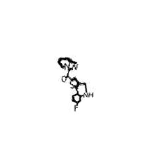 O=C(c1cc2c(s1)-c1ccc(F)cc1NCC2)c1ncc2ccccn12